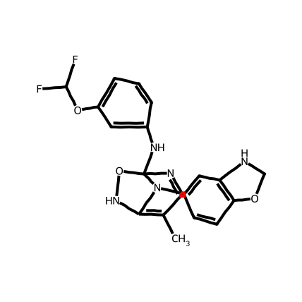 CC1=C2NOC(Nc3cccc(OC(F)F)c3)(N=C1)N2c1ccc2c(c1)NCO2